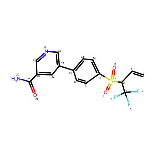 C=CC(C(F)(F)F)S(=O)(=O)c1ccc(-c2cncc(C(N)=O)c2)cc1